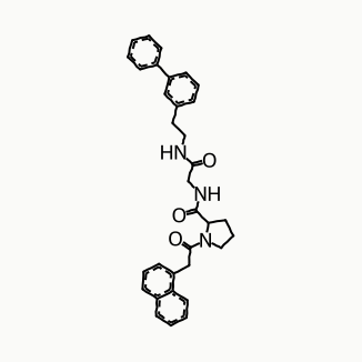 O=C(CNC(=O)C1CCCN1C(=O)Cc1cccc2ccccc12)NCCc1cccc(-c2ccccc2)c1